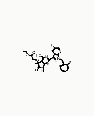 CCOC(=O)COC1(C)C(=O)Nc2nc(-c3nn(Cc4ccccc4F)c4ncc(F)cc34)nc(O)c21